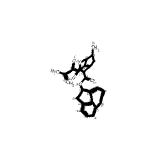 C=C(C)C(=O)OC1C2CC(C)C1OC(=O)C2C(=O)OC1Cc2cccc3cccc1c23